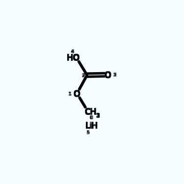 COC(=O)O.[LiH]